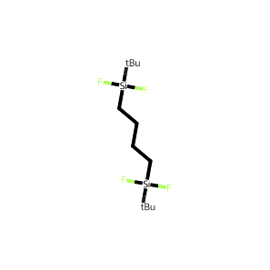 CC(C)(C)[Si](F)(F)CCCC[Si](F)(F)C(C)(C)C